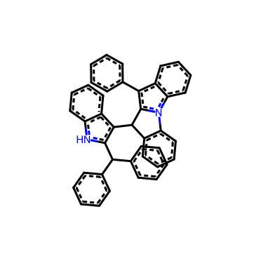 c1ccc(-c2c3n(c4ccccc24)-c2ccccc2C3c2c(C(c3ccccc3)c3ccccc3)[nH]c3ccccc23)cc1